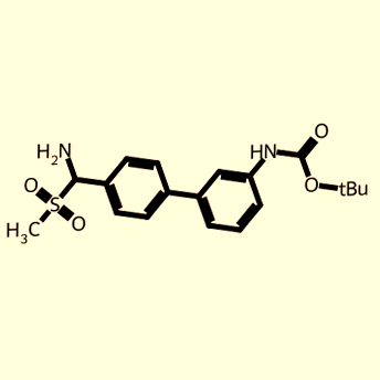 CC(C)(C)OC(=O)Nc1cccc(-c2ccc(C(N)S(C)(=O)=O)cc2)c1